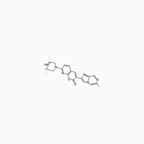 Cc1cn2cc(-c3cc4ccc(N5C[C@@H](C)N[C@@H](C)C5)nc4oc3=O)nc2cn1